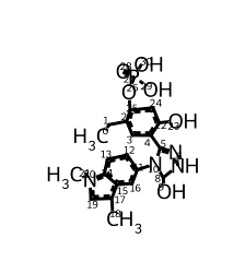 CCc1cc(C2=NNC(O)N2c2ccc3c(c2)c(C)cn3C)c(O)cc1OP(=O)(O)O